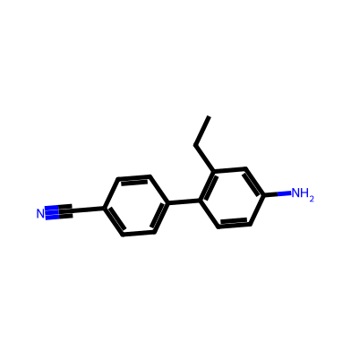 CCc1cc(N)ccc1-c1ccc(C#N)cc1